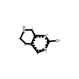 Clc1ncc2c(n1)CNCC2